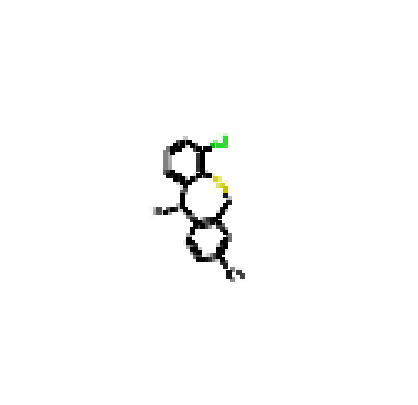 CC(C)C1c2ccc(C#N)cc2CSc2c(Cl)cccc21